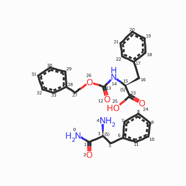 NC(=O)[C@@H](N)Cc1ccccc1.O=C(N[C@@H](Cc1ccccc1)C(=O)O)OCc1ccccc1